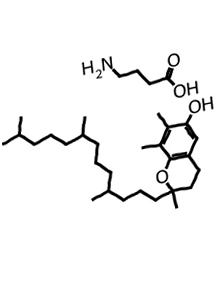 Cc1c(O)cc2c(c1C)OC(C)(CCCC(C)CCCC(C)CCCC(C)C)CC2.NCCCC(=O)O